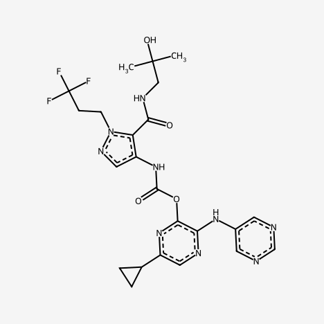 CC(C)(O)CNC(=O)c1c(NC(=O)Oc2nc(C3CC3)cnc2Nc2cncnc2)cnn1CCC(F)(F)F